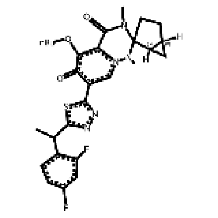 CCCCOc1c2n(cc(-c3nnc(C(C)c4ccc(F)cc4F)s3)c1=O)N(C)C1(CC[C@@H]3C[C@@H]31)N(C)C2=O